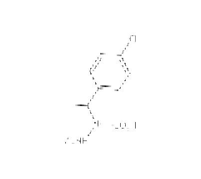 CC(=O)NN(C(=O)O)C(C)c1ccc(Cl)cc1